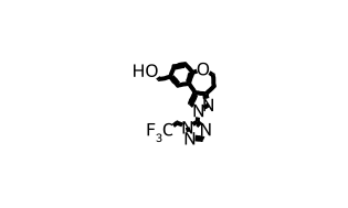 OCc1ccc2c(c1)-c1cn(-c3ncnn3CC(F)(F)F)nc1CCO2